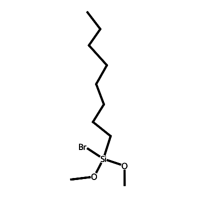 CCCCCCCC[Si](Br)(OC)OC